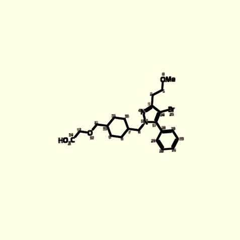 COCCc1nn(CC2CCC(COCC(=O)O)CC2)c(-c2ccccc2)c1Br